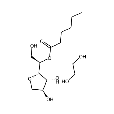 CCCCCC(=O)O[C@H](CO)[C@H]1OC[C@H](O)[C@H]1O.OCCO